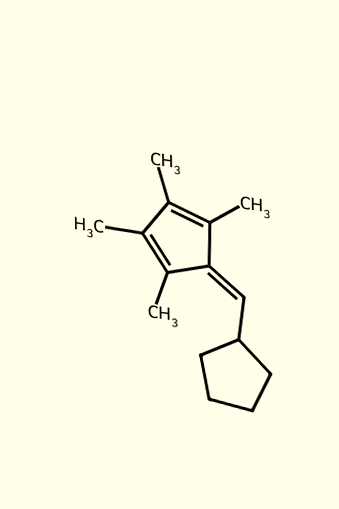 CC1=C(C)C(C)=C(C)C1=CC1CCCC1